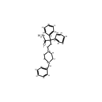 NC(=O)C(CCN1CCN(Cc2ccccc2)CC1)(c1ccccc1)c1ccccc1